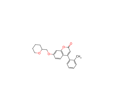 Cc1ccccc1-c1cc(=O)oc2cc(OCC3CCCCO3)ccc12